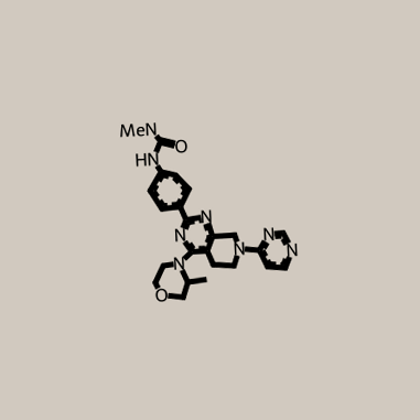 CNC(=O)Nc1ccc(-c2nc3c(c(N4CCOCC4C)n2)CCN(c2ccncn2)C3)cc1